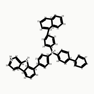 c1ccc(-c2ccc(N(c3ccc(-c4cccc5ccccc45)cc3)c3ccc(-c4cccc5c4sc4cnccc45)cc3)cc2)cc1